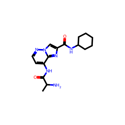 CC(N)C(=O)Nc1ccnn2cc(C(=O)NC3CCCCC3)nc12